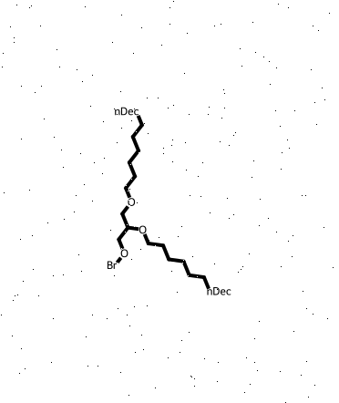 CCCCCCCCCCCCCCCCOCC(COBr)OCCCCCCCCCCCCCCCC